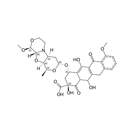 COc1cccc2c1C(=O)C1=C(C2)C(O)C2C(=O)[C@](O)(C(=O)O)C[C@H](O[C@H]3C[C@H]4[C@H](O[C@@H]5[C@@H](OC)OCCN54)[C@H](C)O3)C2=C1O